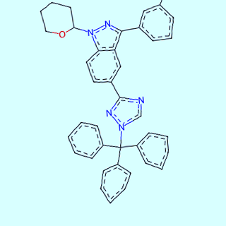 O=C(O)c1cccc(-c2nn(C3CCCCO3)c3ccc(-c4ncn(C(c5ccccc5)(c5ccccc5)c5ccccc5)n4)cc23)c1